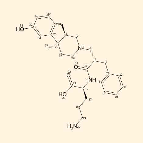 C[C@H]1CN(C[C@H](Cc2ccccc2)C(=O)N[C@@H](CCCN)C(=O)O)CC[C@@]1(C)c1cccc(O)c1